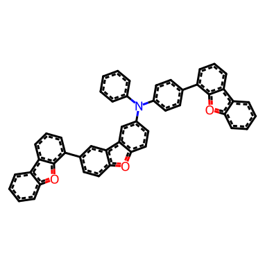 c1ccc(N(c2ccc(-c3cccc4c3oc3ccccc34)cc2)c2ccc3oc4ccc(-c5cccc6c5oc5ccccc56)cc4c3c2)cc1